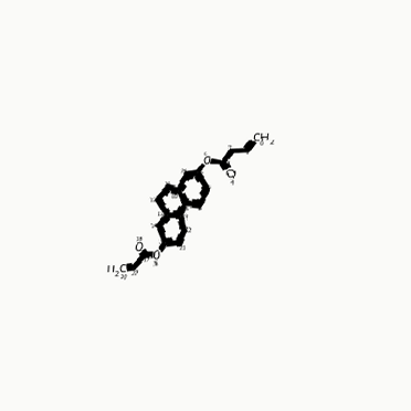 C=CCC(=O)Oc1ccc2c(ccc3cc(OC(=O)C=C)ccc32)c1